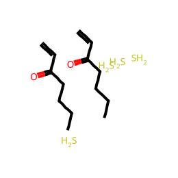 C=CC(=O)CCCC.C=CC(=O)CCCC.S.S.S.S